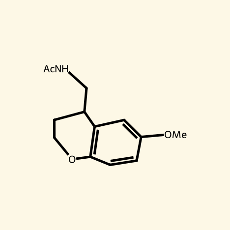 COc1ccc2c(c1)C(CNC(C)=O)CCO2